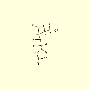 O=c1occ(C(F)(F)C(F)(F)C(F)(CF)C(F)(F)C(F)(F)C(F)(F)F)o1